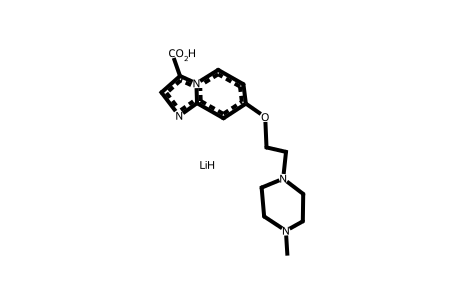 CN1CCN(CCOc2ccn3c(C(=O)O)cnc3c2)CC1.[LiH]